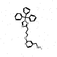 NCc1ccnc(OCCCc2ncn(C(c3ccccc3)(c3ccccc3)c3ccccc3)n2)c1